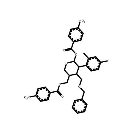 Cc1cc(F)ccc1C1C(OC(=O)c2ccc([N+](=O)[O-])cc2)OCC(COC(=O)c2ccc([N+](=O)[O-])cc2)C1COCc1ccccc1